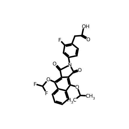 CC(C)Oc1c2c(c(OC(F)F)c3ccccc13)C(=O)N(c1ccc(CC(=O)O)c(F)c1)C2=O